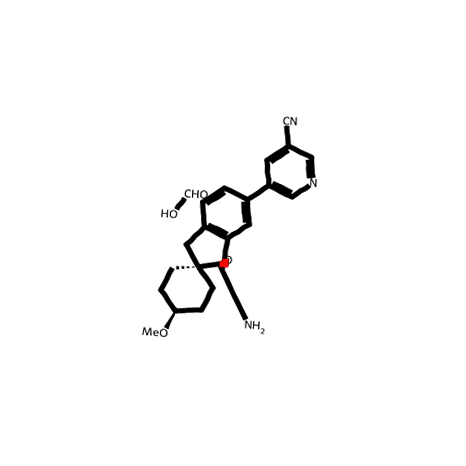 CO[C@H]1CC[C@]2(CC1)Cc1ccc(-c3cncc(C#N)c3)cc1C21COC(N)=N1.O=CO